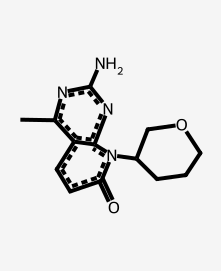 Cc1nc(N)nc2c1ccc(=O)n2C1CCCOC1